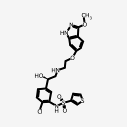 COc1n[nH]c2cc(OCCNC[C@H](O)c3ccc(Cl)c(NS(=O)(=O)c4ccsc4)c3)ccc12